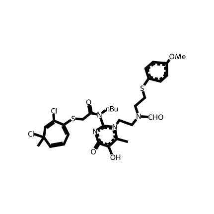 CCCCN(C(=O)CSC1=CC=CC(C)(Cl)C=C1Cl)c1nc(=O)c(O)c(C)n1CCN(C=O)CCSc1ccc(OC)cc1